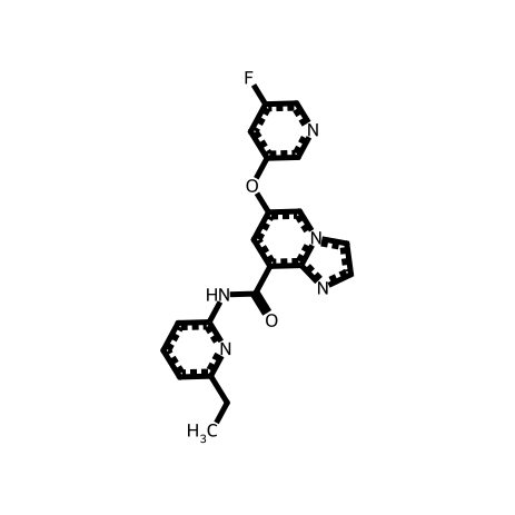 CCc1cccc(NC(=O)c2cc(Oc3cncc(F)c3)cn3ccnc23)n1